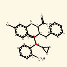 O=CC(=O)N(Nc1cc(Cl)ccc1OCC1CC1)C(Cc1ccccc1)C(=O)Nc1ccccc1C(=O)O